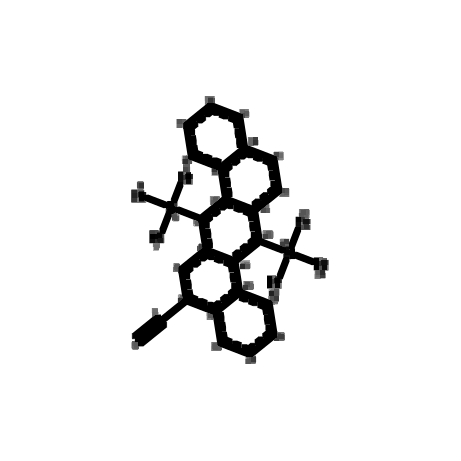 C#Cc1cc2c([Si](CC)(CC)CC)c3c(ccc4ccccc43)c([Si](CC)(CC)CC)c2c2ccccc12